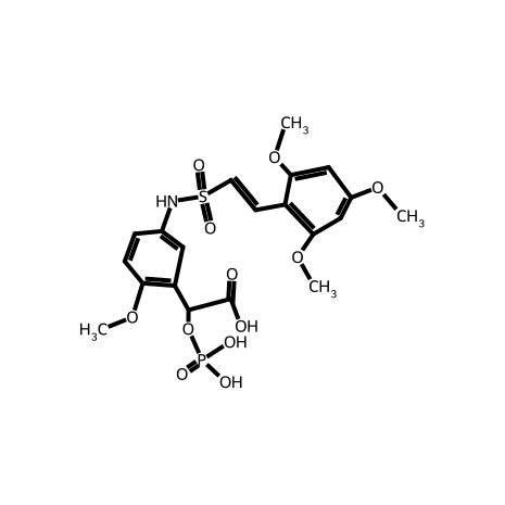 COc1cc(OC)c(/C=C/S(=O)(=O)Nc2ccc(OC)c(C(OP(=O)(O)O)C(=O)O)c2)c(OC)c1